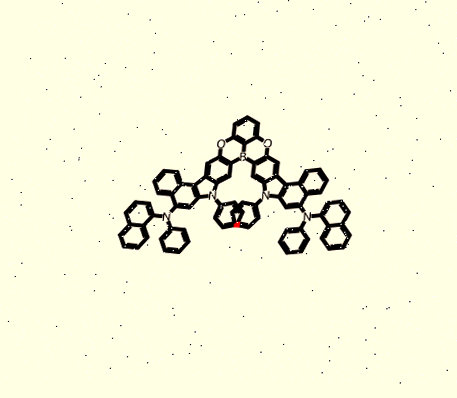 c1ccc(N(c2cccc3ccccc23)c2cc3c(c4ccccc24)c2cc4c(cc2n3-c2ccccc2)B2c3cc5c(cc3Oc3cccc(c32)O4)c2c3ccccc3c(N(c3ccccc3)c3cccc4ccccc34)cc2n5-c2ccccc2)cc1